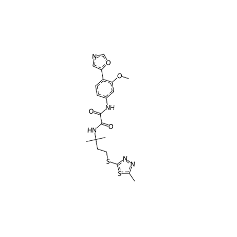 COc1cc(NC(=O)C(=O)NC(C)(C)CCSc2nnc(C)s2)ccc1-c1cnco1